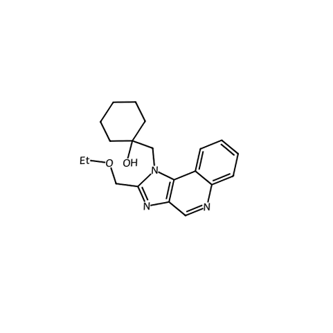 CCOCc1nc2cnc3ccccc3c2n1CC1(O)CCCCC1